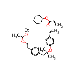 C=CC(=O)OC1CCCCC1.C=Cc1ccc(OC(C)(C)Cc2ccc(C=COC(C)OCC)cc2)cc1